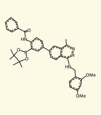 COc1ccc(CNc2nnc(C)c3cc(-c4ccc(NC(=O)c5ccccc5)c(B5OC(C)(C)C(C)(C)O5)c4)ccc23)c(OC)c1